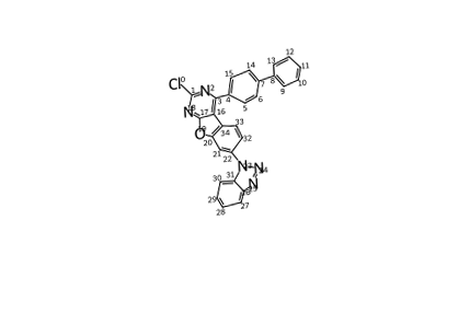 Clc1nc(-c2ccc(-c3ccccc3)cc2)c2c(n1)oc1cc(-n3nnc4ccccc43)ccc12